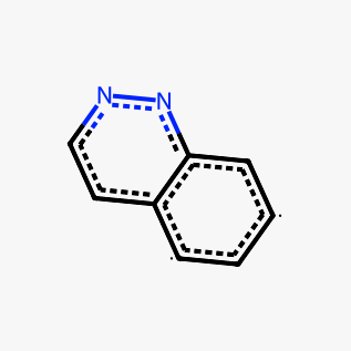 [c]1c[c]c2ccnnc2c1